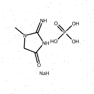 CN1CC(=O)NC1=N.O=P(O)(O)O.[NaH]